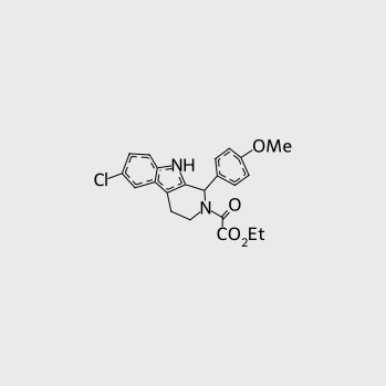 CCOC(=O)C(=O)N1CCc2c([nH]c3ccc(Cl)cc23)C1c1ccc(OC)cc1